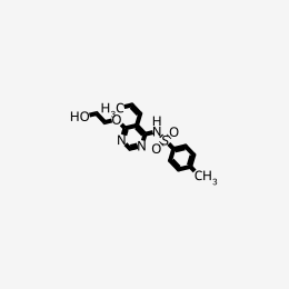 C/C=C\c1c(NS(=O)(=O)c2ccc(C)cc2)ncnc1OCCO